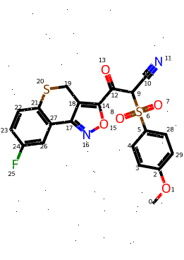 COc1ccc(S(=O)(=O)C(C#N)C(=O)c2onc3c2CSc2ccc(F)cc2-3)cc1